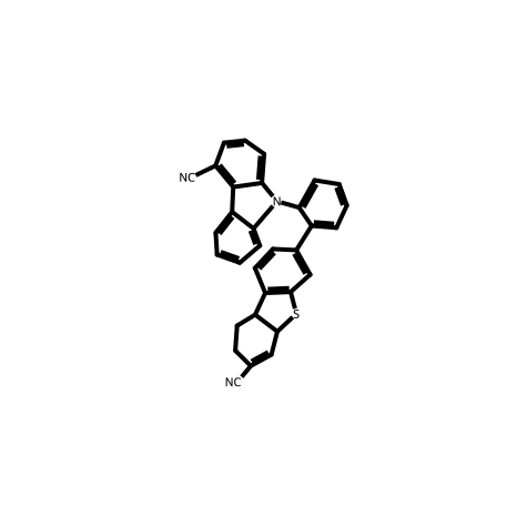 N#CC1=CC2Sc3cc(-c4ccccc4-n4c5ccccc5c5c(C#N)cccc54)ccc3C2CC1